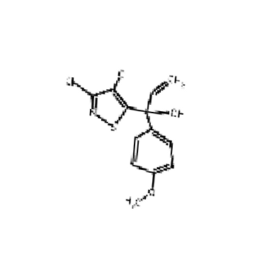 C=CC(O)(c1ccc(OC)cc1)c1snc(Cl)c1Cl